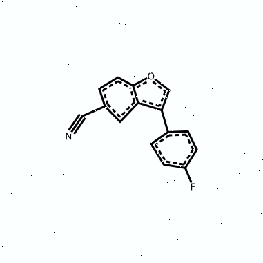 N#Cc1ccc2occ(-c3ccc(F)cc3)c2c1